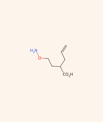 C=CCC(CCON)C(=O)O